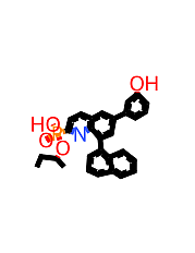 CCC(C)OP(=O)(O)c1ccc2cc(-c3cccc(O)c3)cc(-c3cccc4ccccc34)c2n1